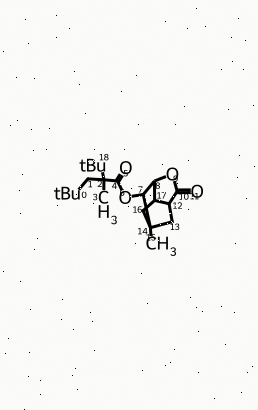 CC(C)(C)CC(C)(C(=O)OC1C2OC(=O)C3CC1(C)CC32)C(C)(C)C